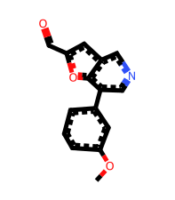 COc1cccc(-c2cncc3cc(C=O)oc23)c1